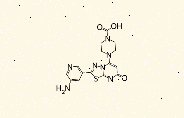 Nc1cncc(-c2nn3c(N4CCN(C(=O)O)CC4)cc(=O)nc3s2)c1